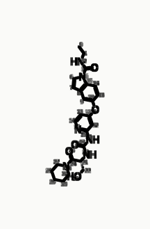 CCNC(=O)n1ccc2cc(Oc3ccnc(NC(=O)N[C@H](CO)C(=O)N4CCCCC4)c3)ccc21